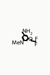 CNc1cc(CN)cc(OCC(F)F)c1